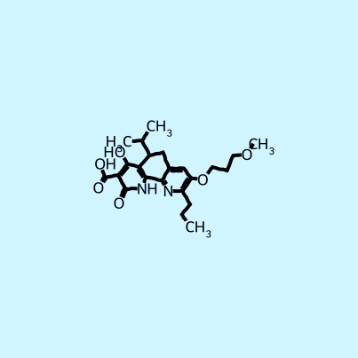 CCCc1nc2c(cc1OCCCOC)CC(C(C)C)c1c-2[nH]c(=O)c(C(=O)O)c1O